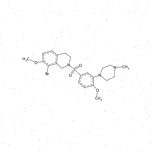 COc1ccc(S(=O)(=O)N2CCc3ccc(OC)c(Br)c3C2)cc1N1CCN(C)CC1